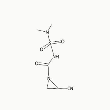 CN(C)S(=O)(=O)NC(=O)N1CC1C#N